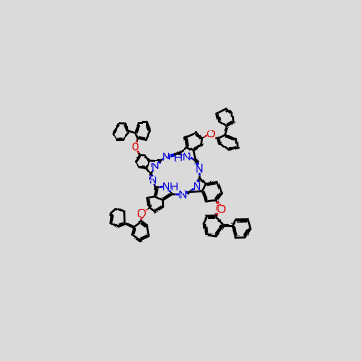 C1=CCCC(c2ccccc2Oc2ccc3c4nc5nc(nc6[nH]c(nc7nc(nc([nH]4)c3c2)-c2ccc(Oc3ccccc3-c3ccccc3)cc2-7)c2ccc(Oc3ccccc3-c3ccccc3)cc62)-c2ccc(Oc3ccccc3-c3ccccc3)cc2-5)=C1